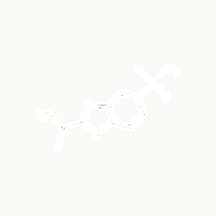 CS(=O)(=O)c1ccc2nc(C(N)=O)sc2c1